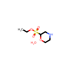 CCOS(=O)(=O)C1CNCCO1.O